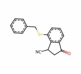 N#CC1CC(=O)c2cccc(SCc3ccccc3)c21